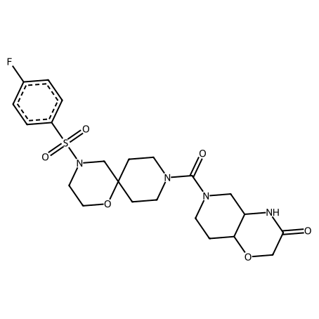 O=C1COC2CCN(C(=O)N3CCC4(CC3)CN(S(=O)(=O)c3ccc(F)cc3)CCO4)CC2N1